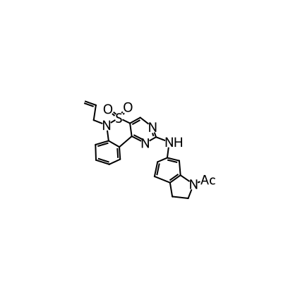 C=CCN1c2ccccc2-c2nc(Nc3ccc4c(c3)N(C(C)=O)CC4)ncc2S1(=O)=O